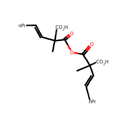 CCC/C=C/C(C)(C(=O)O)C(=O)OC(=O)C(C)(/C=C/CCC)C(=O)O